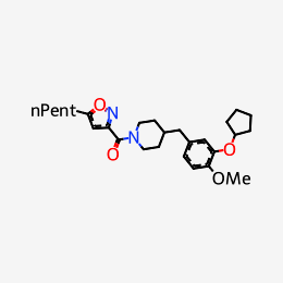 CCCCCc1cc(C(=O)N2CCC(Cc3ccc(OC)c(OC4CCCC4)c3)CC2)no1